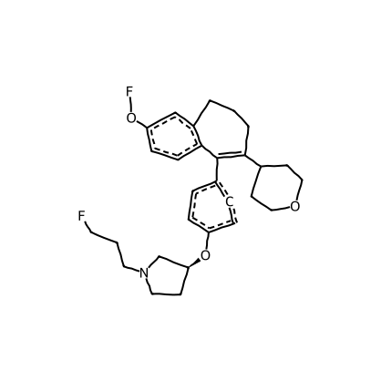 FCCCN1CC[C@H](Oc2ccc(C3=C(C4CCOCC4)CCCc4cc(OF)ccc43)cc2)C1